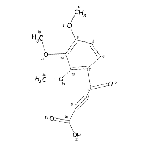 COc1ccc(C(=O)C#CC(=O)O)c(OC)c1OC